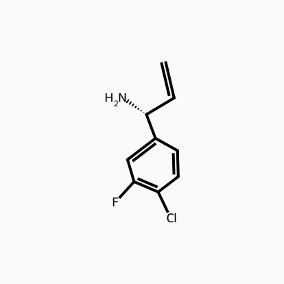 C=C[C@@H](N)c1ccc(Cl)c(F)c1